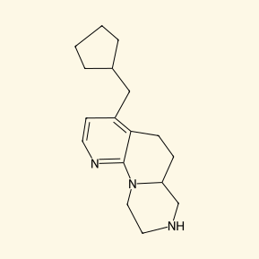 c1cc(CC2CCCC2)c2c(n1)N1CCNCC1CC2